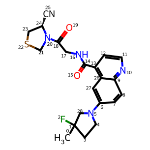 CC1(F)CCN(c2ccc3nccc(C(=O)NCC(=O)N4CSC[C@H]4C#N)c3c2)C1